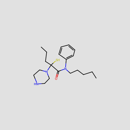 CCCCCN(C(=O)C(S)(CCC)N1CCNCC1)c1ccccc1